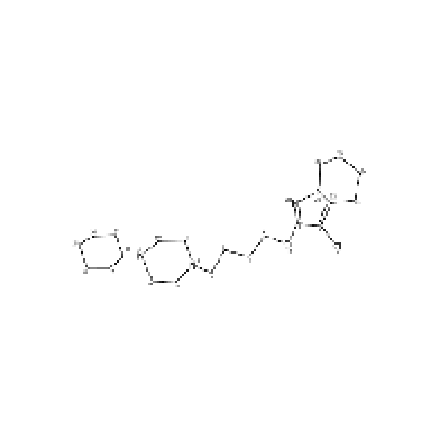 Clc1c(OCCCCN2CCN(C3CCCCC3)CC2)nn2c1CCCC2